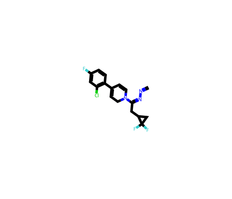 C=N/N=C(/CC1CC1(F)F)N1C=CC(c2ccc(F)cc2Cl)=CC1